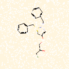 OC(CCl)COC1=CN(Cc2ccccc2)S(Cc2ccccc2)=C1